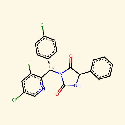 O=C1NC(c2ccccc2)C(=O)N1[C@@H](c1ccc(Cl)cc1)c1ncc(Cl)cc1F